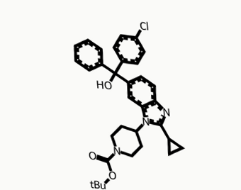 CC(C)(C)OC(=O)N1CCC(n2c(C3CC3)nc3ccc(C(O)(c4ccccc4)c4ccc(Cl)cc4)cc32)CC1